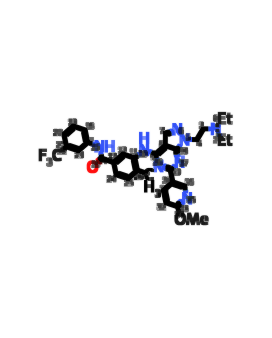 CCN(CC)CCn1ncc2c(Nc3cc(C(=O)Nc4cccc(C(F)(F)F)c4)ccc3C)nc(-c3ccc(OC)nc3)nc21